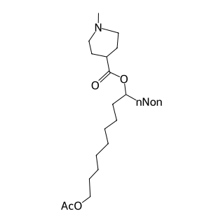 CCCCCCCCCC(CCCCCCCCOC(C)=O)OC(=O)C1CCN(C)CC1